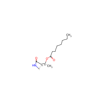 CCCCCCCC(=O)O[C@H](C)[C@@H]1[CH]NC1=O